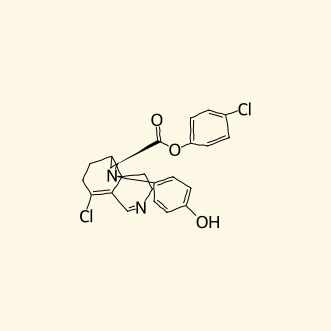 O=C(Oc1ccc(Cl)cc1)[C@@H]1CC2CCC(Cl)=C3C=NCCC32N1c1ccc(O)cc1